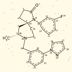 C[C@@H]1C[C@]2(CCC(=O)N2c2cccc(F)c2)CCN1Cc1cccc(-n2cccn2)c1